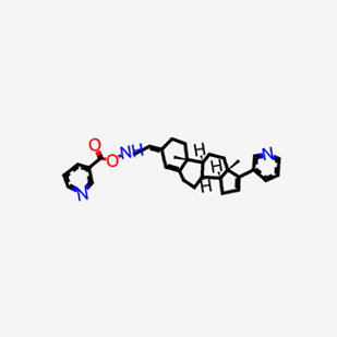 C[C@]12CC/C(=C/CNOC(=O)c3cccnc3)C=C1CC[C@H]1[C@@H]2CC[C@]2(C)C(c3cccnc3)=CC[C@@H]12